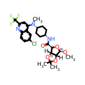 CO[C@@H]1O[C@H](C(=O)N[C@H]2CC[C@@H](N(C)c3cc(C(F)(F)F)nc4ccc(Cl)cc34)CC2)[C@H]2OC(C)(C)O[C@@H]12